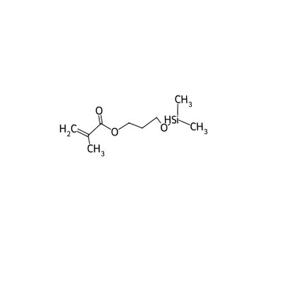 C=C(C)C(=O)OCCCO[SiH](C)C